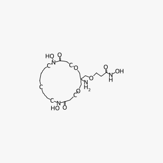 NC1(COCCC(=O)NO)COCCC(=O)N(O)CCCCCCCCN(O)C(=O)CCOC1